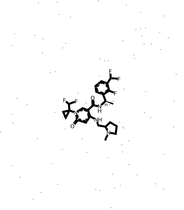 C[C@@H](NC(=O)c1cn(C2(C(F)F)CC2)c(=O)cc1NCC1CCCN1C)c1cccc(C(F)F)c1F